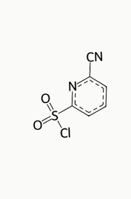 N#Cc1cccc(S(=O)(=O)Cl)n1